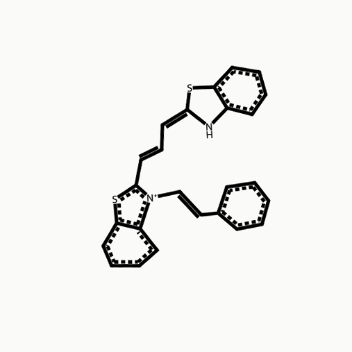 C(=Cc1sc2ccccc2[n+]1C=Cc1ccccc1)C=C1Nc2ccccc2S1